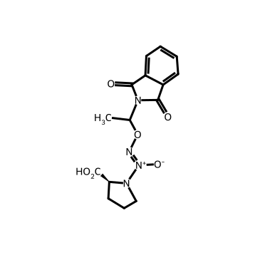 CC(O/N=[N+](\[O-])N1CCC[C@H]1C(=O)O)N1C(=O)c2ccccc2C1=O